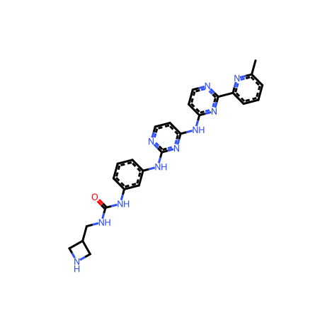 Cc1cccc(-c2nccc(Nc3ccnc(Nc4cccc(NC(=O)NCC5CNC5)c4)n3)n2)n1